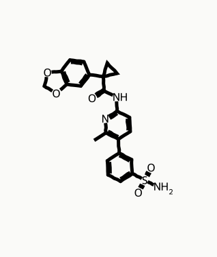 Cc1nc(NC(=O)C2(c3ccc4c(c3)OCO4)CC2)ccc1-c1cccc(S(N)(=O)=O)c1